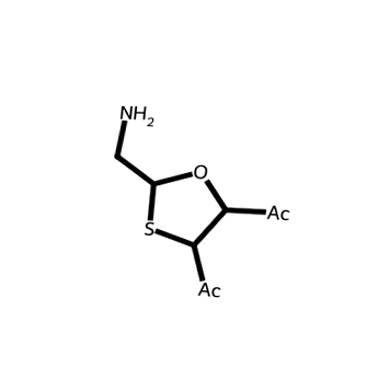 CC(=O)C1OC(CN)SC1C(C)=O